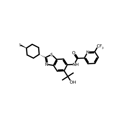 CC(C)(O)c1cc2nc([C@H]3CC[C@H](I)CC3)sc2cc1NC(=O)c1cccc(C(F)(F)F)n1